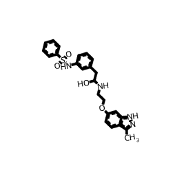 Cc1n[nH]c2cc(OCCNC(O)Cc3cccc(NS(=O)(=O)c4ccccc4)c3)ccc12